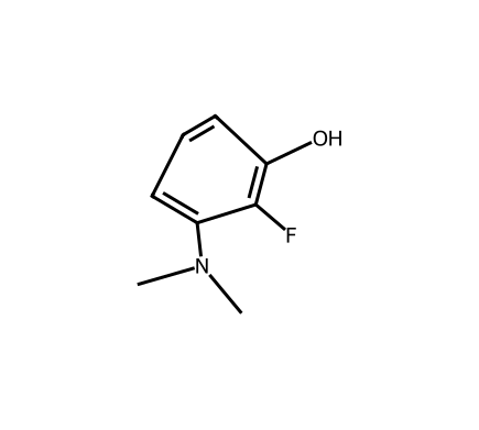 CN(C)c1cccc(O)c1F